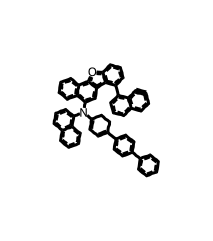 c1ccc2cccc(-c3cccc4oc5c6ccccc6c(N(C6=CC=C(c7ccc(-c8ccccc8)cc7)CC6)c6cccc7ccccc67)cc5c34)c2c#1